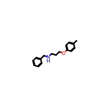 Cc1ccc(OCCCNCc2ccccc2)cc1